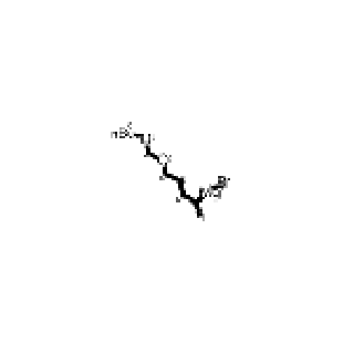 CCCCOCOCCC[CH](C)[Mg][Br]